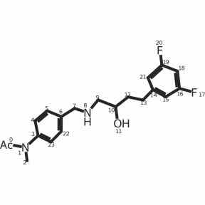 CC(=O)N(C)c1ccc(CNCC(O)CCc2cc(F)cc(F)c2)cc1